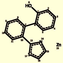 Oc1ccccc1-c1ccccc1-c1nccs1.[Zn]